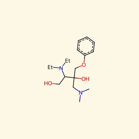 CCN(CC)C(CO)C(O)(COc1ccccc1)CN(C)C